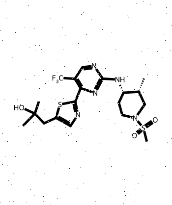 C[C@@H]1CN(S(C)(=O)=O)CC[C@@H]1Nc1ncc(C(F)(F)F)c(-c2ncc(CC(C)(C)O)s2)n1